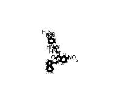 NS(=O)(=O)c1ccc(NC(=S)NN=C2C(=O)N(Cc3cccc4ccccc34)c3ccc([N+](=O)[O-])cc32)cc1